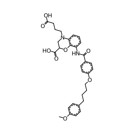 COc1ccc(CCCCOc2ccc(C(=O)Nc3cccc4c3OC(C(=O)O)CN4CCCC(=O)O)cc2)cc1